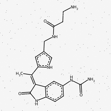 CC(=C1C(=O)Nc2ccc(NC(N)=O)cc21)c1cc(CNC(=O)CCN)c[nH]1